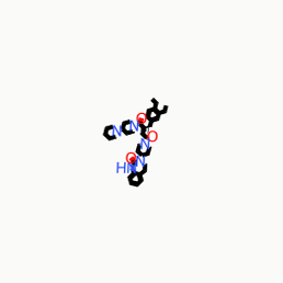 CCc1ccc(C[C@@H](CC(=O)N2CCC(N3CCc4ccccc4NC3=O)CC2)C(=O)N2CCC(N3CCCCC3)CC2)cc1CC